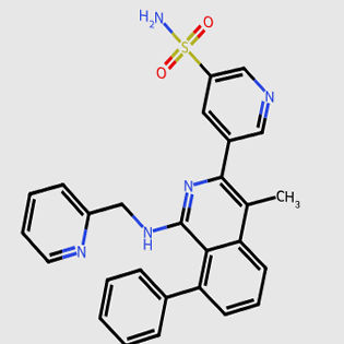 Cc1c(-c2cncc(S(N)(=O)=O)c2)nc(NCc2ccccn2)c2c(-c3ccccc3)cccc12